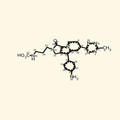 Cc1nnc(-c2ccn3c4c(c(-c5ccc(N)cc5)c3c2)CN(CCCNC(=O)O)C4=O)nn1